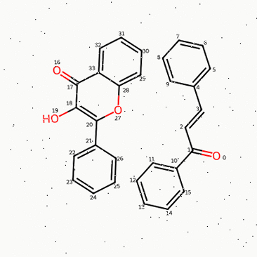 O=C(C=Cc1ccccc1)c1ccccc1.O=c1c(O)c(-c2ccccc2)oc2ccccc12